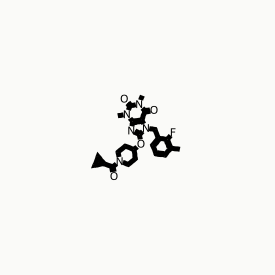 Cc1cccc(Cn2c(OC3CCN(C(=O)C4CC4)CC3)nc3c2c(=O)n(C)c(=O)n3C)c1F